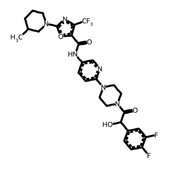 CC1CCCN(c2nc(C(F)(F)F)c(C(=O)Nc3ccc(N4CCN(C(=O)C(O)c5ccc(F)c(F)c5)CC4)nc3)o2)C1